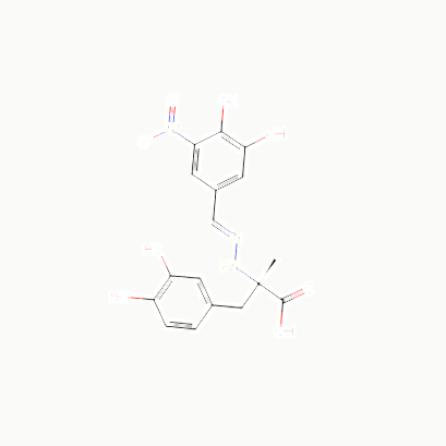 C[C@@](Cc1ccc(O)c(O)c1)(N/N=C/c1cc(O)c(O)c([N+](=O)[O-])c1)C(=O)O